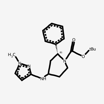 Cn1ccc(NC2CCN(C(=O)OC(C)(C)C)[C@@H](c3ccccc3)C2)n1